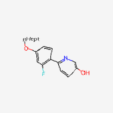 CCCCCCCOc1ccc(-c2ccc(O)cn2)c(F)c1